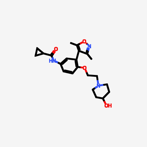 Cc1noc(C)c1-c1cc(NC(=O)C2CC2)ccc1OCCN1CCC(O)CC1